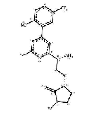 Cc1cc(-c2cc(C(F)(F)F)ccc2C#N)cc([C@H](N)CC[C@@H]2CCN(C)C2=O)n1